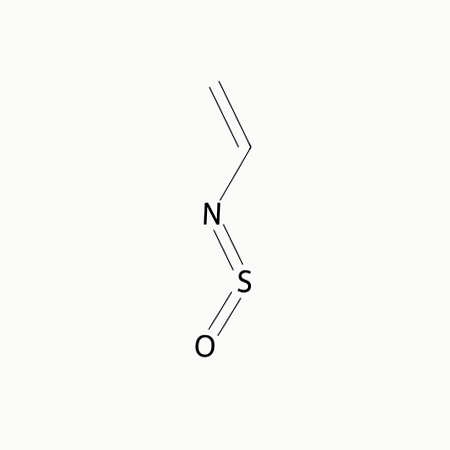 C=CN=S=O